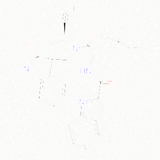 C#C[C@@H]1C[C@@]2(CN1C(=O)[C@H](CC(C)(C)F)NC(=O)c1cc3c(F)cc(F)cc3[nH]1)C(=O)Nc1ccccc12